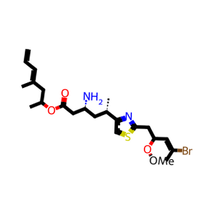 C=C/C=C(\C)CC(C)OC(=O)C[C@H](N)C[C@H](C)c1csc(CC(/C=C(\C)Br)OOC)n1